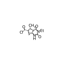 CCn1c(=O)[nH]c2sc(C(=O)Cl)c(C)c2c1=O